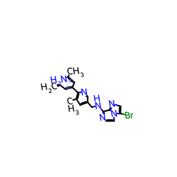 C=C/C=C(\C=C(\C)N)c1ncc(CNc2nccn3c(Br)cnc23)cc1C